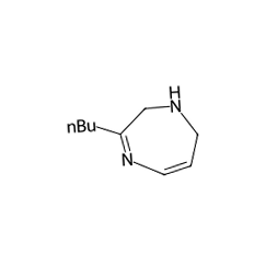 CCCCC1=NC=CCNC1